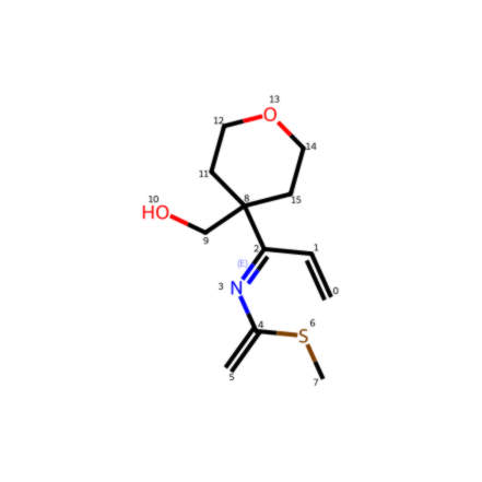 C=C/C(=N\C(=C)SC)C1(CO)CCOCC1